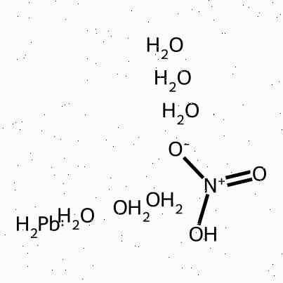 O.O.O.O.O.O.O=[N+]([O-])O.[PbH2]